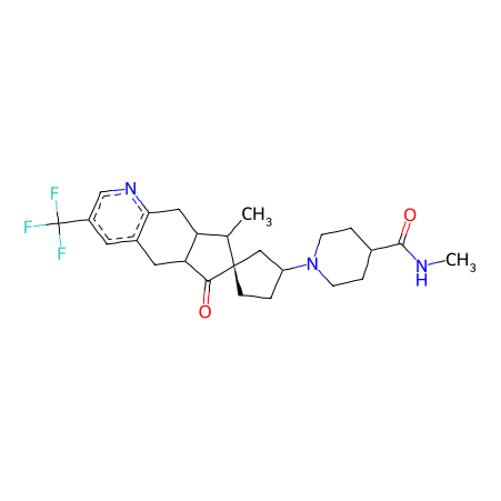 CNC(=O)C1CCN(C2CC[C@@]3(C2)C(=O)C2Cc4cc(C(F)(F)F)cnc4CC2C3C)CC1